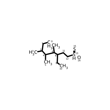 CCC(C)C(C)C(C)C(CC)CC[SH](=O)=S